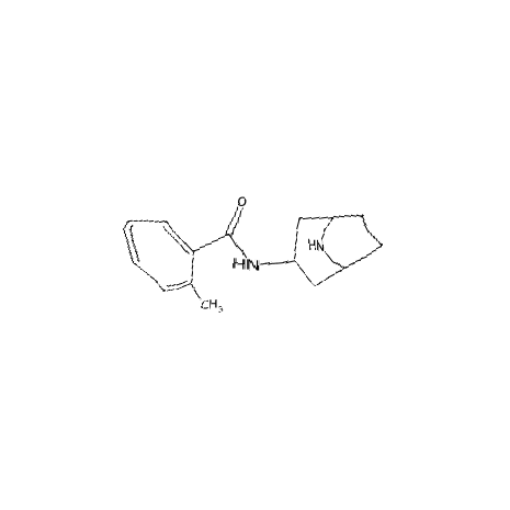 Cc1ccccc1C(=O)NC1CC2CCC(C1)N2